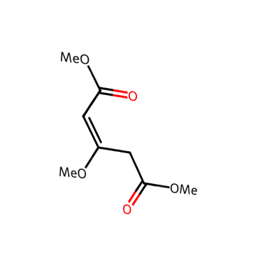 COC(=O)C=C(CC(=O)OC)OC